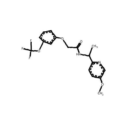 COc1ccc(C(C)NC(=O)COc2cccc(OC(F)(F)F)c2)nc1